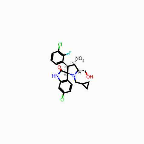 O=C1Nc2cc(Cl)ccc2[C@@]12[C@@H](c1cccc(Cl)c1F)[C@H]([N+](=O)[O-])[C@H](CO)N2CC1CC1